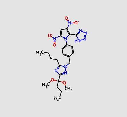 CCCCc1nc(C(CCC)(OC)OC)nn1Cc1ccc(-n2c([N+](=O)[O-])cc([N+](=O)[O-])c2-c2nnn[nH]2)cc1